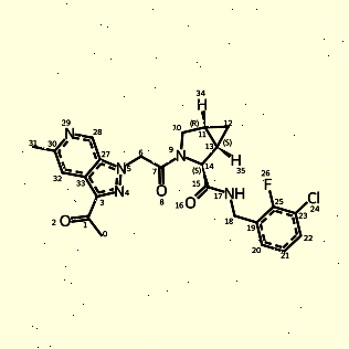 CC(=O)c1nn(CC(=O)N2C[C@@H]3C[C@@H]3[C@H]2C(=O)NCc2cccc(Cl)c2F)c2cnc(C)cc12